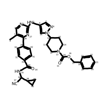 Cc1cnc(Nc2cnn(C3CCN(C(=O)OCc4ccccc4)CC3)c2)nc1-c1ccc(C(=O)NC(C#N)C2CC2)cc1